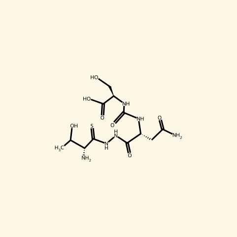 CC(O)[C@@H](N)C(=S)NNC(=O)[C@@H](CC(N)=O)NC(=O)N[C@H](CO)C(=O)O